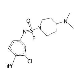 CC(C)c1ccc(N=S(=O)(F)N2CCC(N(C)C)CC2)cc1Cl